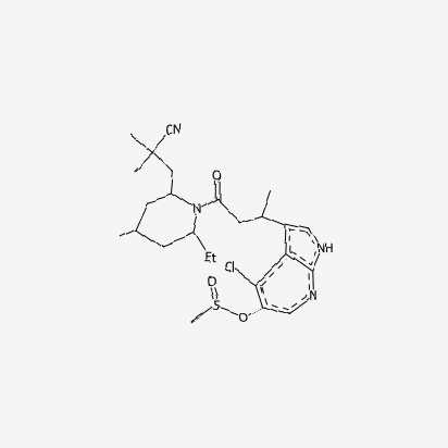 CCC1CC(C)CC(CC(C)(C)C#N)N1C(=O)CC(C)c1c[nH]c2ncc(OS(C)=O)c(Cl)c12